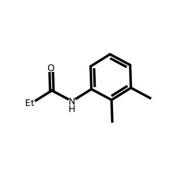 CCC(=O)Nc1cccc(C)c1C